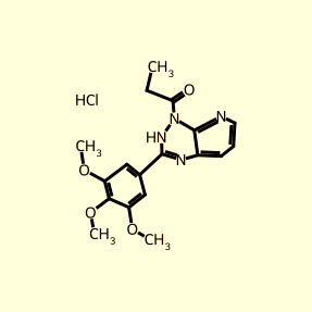 CCC(=O)N1NC(c2cc(OC)c(OC)c(OC)c2)=Nc2cccnc21.Cl